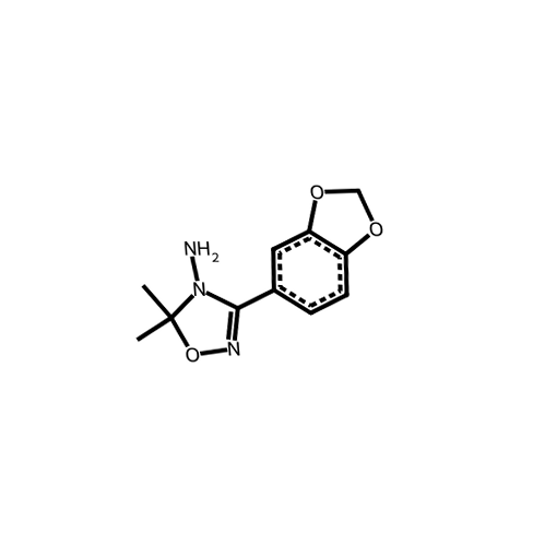 CC1(C)ON=C(c2ccc3c(c2)OCO3)N1N